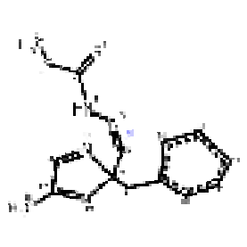 CSC(=S)N/N=C\C1(Cc2ccccc2)N=CC(C)=N1